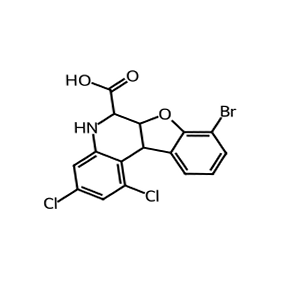 O=C(O)C1Nc2cc(Cl)cc(Cl)c2C2c3cccc(Br)c3OC12